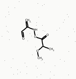 C=C(C=O)NOC(=O)C(C)OC